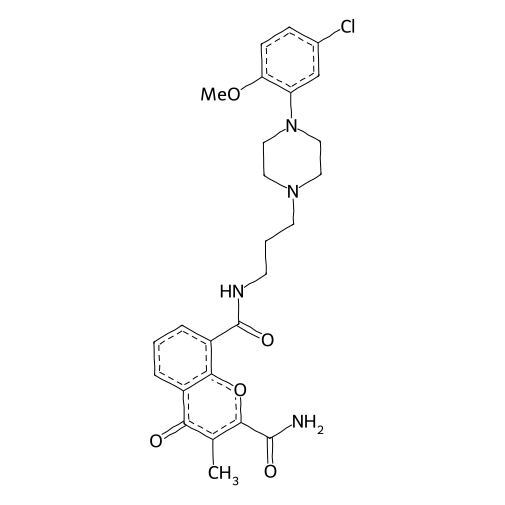 COc1ccc(Cl)cc1N1CCN(CCCNC(=O)c2cccc3c(=O)c(C)c(C(N)=O)oc23)CC1